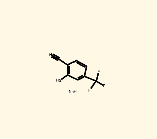 N#Cc1ccc(C(F)(F)F)cc1S.[NaH]